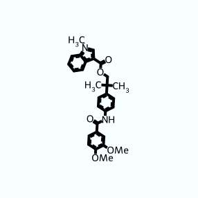 COc1ccc(C(=O)Nc2ccc(C(C)(C)COC(=O)c3cn(C)c4ccccc34)cc2)cc1OC